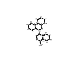 Brc1ccc(-c2cc3c(c4ccccc24)C=CCC3)c2ccccc12